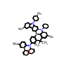 CC(C)(C)c1ccc(-n2c3ccc(C(C)(C)C)cc3c3cc4c(cc32)N(c2ccccc2)c2cc(C(C)(C)C)cc3c2B4c2ccc(N(c4ccccc4)c4ccc(C(C)(C)C)cc4-c4ccccc4)cc2C3(C)C)cc1